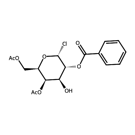 CC(=O)OC[C@H]1O[C@H](Cl)[C@H](OC(=O)c2ccccc2)[C@@H](O)[C@H]1OC(C)=O